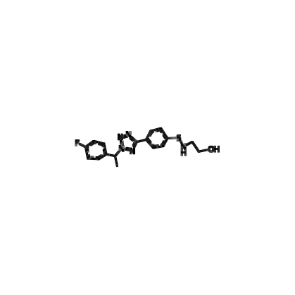 CC(c1ccc(F)cc1)n1nnc(-c2ccc(SNCCO)cc2)n1